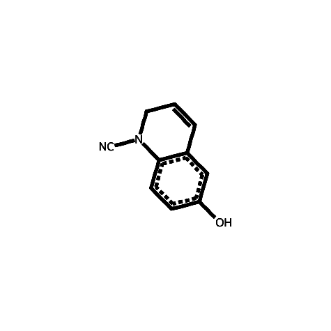 N#CN1CC=Cc2cc(O)ccc21